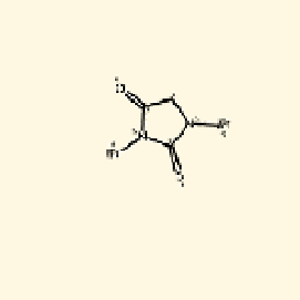 CC(C)N1CC(=O)N(C(C)C)C1=S